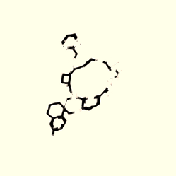 C[C@@H]1[C@@H](C)C/C=C/[C@H](OCc2ncccn2)[C@@H]2CC[C@H]2CN2C[C@@]3(CCCc4cc(Cl)ccc43)COc3ccc(cc32)C(=O)NS1(=O)=O